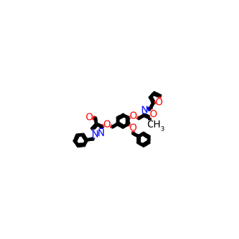 Cc1oc(-c2ccco2)nc1COc1ccc(COc2nn(Cc3ccccc3)cc2C=O)cc1OCc1ccccc1